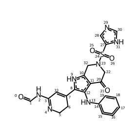 O=CNC1=NCCC(c2[nH]c3c(c2NC2=C=C=CC=C2)C(=O)CN(S(=O)(=O)c2cnc[nH]2)C3)=C1